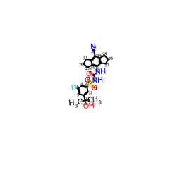 CC(C)(O)c1cc(F)cc(S(=O)(=O)NC(=O)Nc2c3c(c(C#N)c4c2CCC4)CCC3)c1